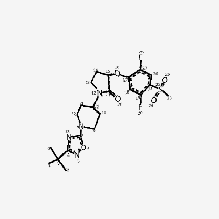 CC(C)(C)c1noc(N2CCC(N3CCC(Oc4cc(F)c(S(C)(=O)=O)cc4F)C3=O)CC2)n1